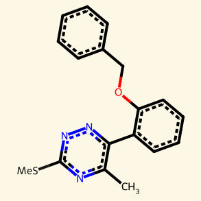 CSc1nnc(-c2ccccc2OCc2ccccc2)c(C)n1